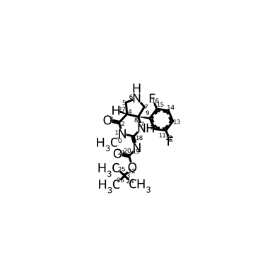 CN1C(=O)[C@@H]2CNC[C@]2(c2cc(F)ccc2F)N/C1=N/C(=O)OC(C)(C)C